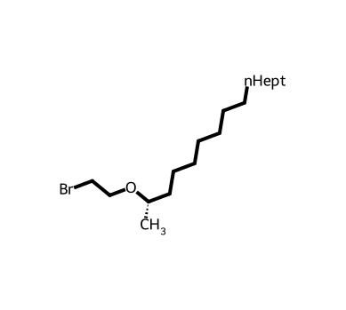 CCCCCCCCCCCCCC[C@H](C)OCCBr